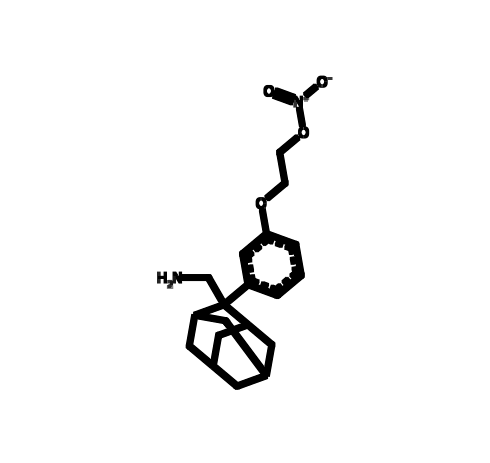 NCC1(c2cccc(OCCO[N+](=O)[O-])c2)C2CC3CC(C2)CC1C3